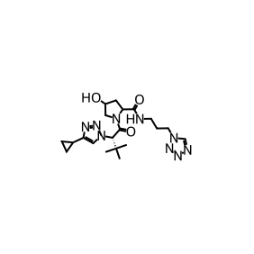 CC(C)(C)[C@@H](C(=O)N1CC(O)CC1C(=O)NCCCn1cnnn1)n1cc(C2CC2)nn1